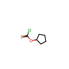 S=C(Cl)OC1CCCC1